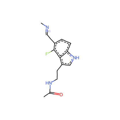 C/N=C/c1ccc2[nH]cc(CCNC(C)=O)c2c1F